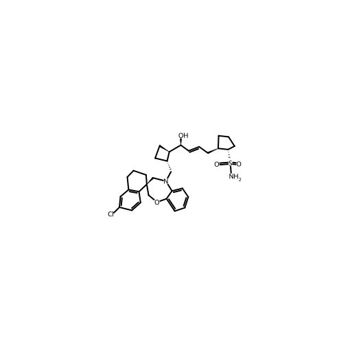 NS(=O)(=O)[C@H]1CCC[C@@H]1C/C=C/[C@H](O)[C@@H]1CC[C@H]1CN1C[C@@]2(CCCc3cc(Cl)ccc32)COc2ccccc21